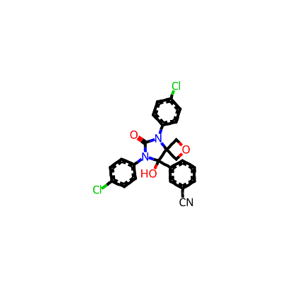 N#Cc1cccc(C2(O)N(c3ccc(Cl)cc3)C(=O)N(c3ccc(Cl)cc3)C23COC3)c1